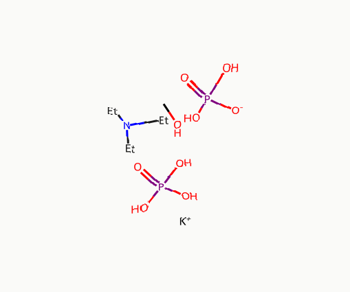 CCN(CC)CC.CO.O=P(O)(O)O.O=P([O-])(O)O.[K+]